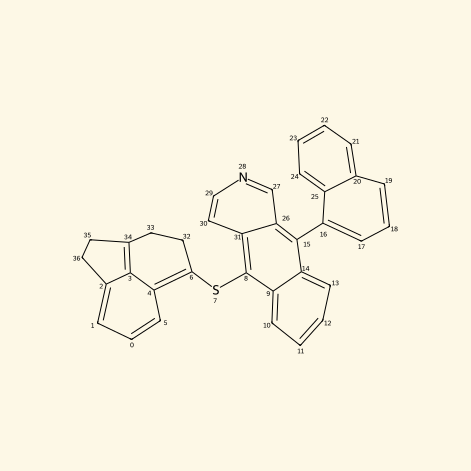 c1cc2c3c(c1)=C(Sc1c4ccccc4c(-c4cccc5ccccc45)c4cnccc14)CCC=3CC2